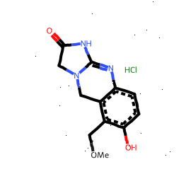 COCc1c(O)ccc2c1CN1CC(=O)NC1=N2.Cl